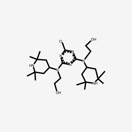 CC1(C)CC(N(CCO)c2nc(Cl)nc(N(CCO)C3CC(C)(C)NC(C)(C)C3)n2)CC(C)(C)N1